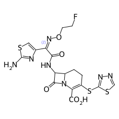 Nc1nc(/C(=N/OCCF)C(=O)NC2C(=O)N3C(C(=O)O)=C(Sc4nncs4)CCC23)cs1